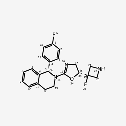 Fc1ccc([C@H]2c3ccccc3CCN2C2=NC[C@H](C3(F)CNC3)O2)cc1